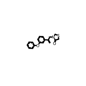 C=C([CH]N1CSCC1=O)c1cccc(Oc2ccccc2)c1